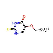 O=C(O)COc1c[nH]c(=S)[nH]c1=O